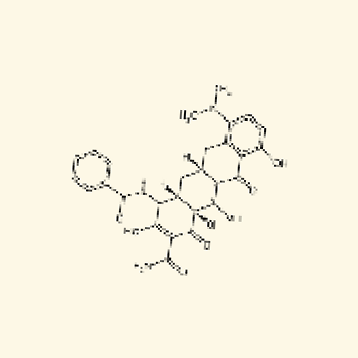 CN(C)c1ccc(O)c2c1C[C@H]1C[C@H]3C(NC(=O)c4ccccc4)C(O)=C(C(N)=O)C(=O)[C@@]3(O)C(O)=C1C2=O